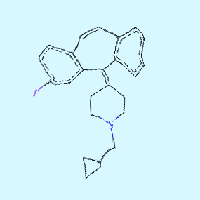 Ic1ccc2c(c1)C(=C1CCN(CC3CC3)CC1)c1ccccc1C=C2